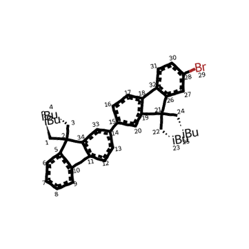 CC[C@H](C)CC1(C[C@@H](C)CC)c2ccccc2-c2ccc(-c3ccc4c(c3)C(C[C@@H](C)CC)(C[C@@H](C)CC)c3cc(Br)ccc3-4)cc21